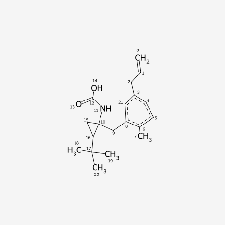 C=CCc1ccc(C)c(CC2(NC(=O)O)CC2C(C)(C)C)c1